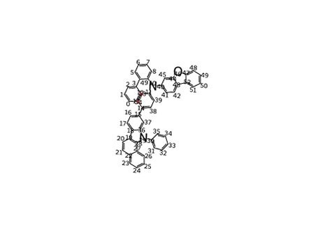 c1ccc(-c2ccccc2N(c2ccc(-c3ccc4c5ccc6ccccc6c5n(-c5ccccc5)c4c3)cc2)c2ccc3c(c2)oc2ccccc23)cc1